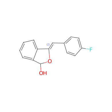 OC1O/C(=C\c2ccc(F)cc2)c2ccccc21